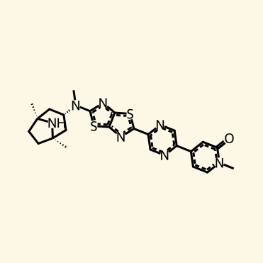 CN(c1nc2sc(-c3cnc(-c4ccn(C)c(=O)c4)cn3)nc2s1)[C@H]1C[C@]2(C)CC[C@](C)(C1)N2